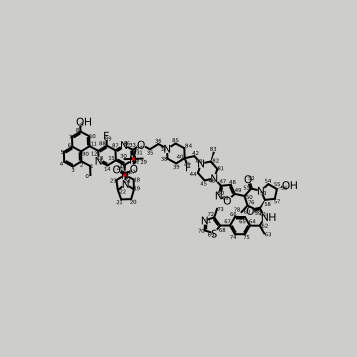 CCc1cccc2cc(O)cc(-c3ncc4c(N5CC6CCC(C5)N6C(=O)OC(C)(C)C)nc(OCCN5CCC(F)(CN6CCN(c7cc(C(C(=O)N8C[C@H](O)C[C@H]8C(=O)NC(C)c8ccc(-c9scnc9C)cc8)C(C)C)on7)C[C@@H]6C)CC5)nc4c3F)c12